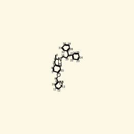 CC(Cc1ccc(OCc2ccccn2)cc1)NCCC(c1ccccc1)c1ccccc1